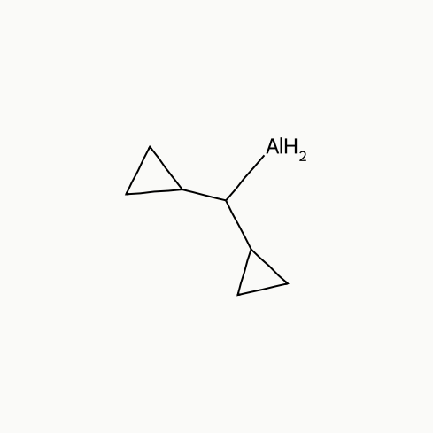 [AlH2][CH](C1CC1)C1CC1